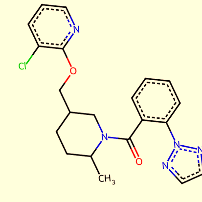 CC1CCC(COc2ncccc2Cl)CN1C(=O)c1ccccc1-n1nccn1